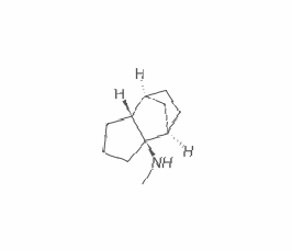 CN[C@@]12CCC[C@@H]1[C@H]1CC[C@@H]2C1